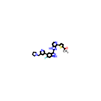 CC(=O)c1ccc(-c2nccc3[nH]c(-c4n[nH]c5cc(F)c(-c6cncc(CN7CCCC7)c6)cc45)nc23)s1